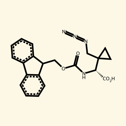 [N-]=[N+]=NCC1([C@@H](NC(=O)OCC2c3ccccc3-c3ccccc32)C(=O)O)CC1